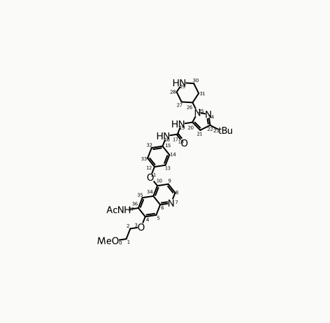 COCCOc1cc2nccc(Oc3ccc(NC(=O)Nc4cc(C(C)(C)C)nn4C4CCNCC4)cc3)c2cc1NC(C)=O